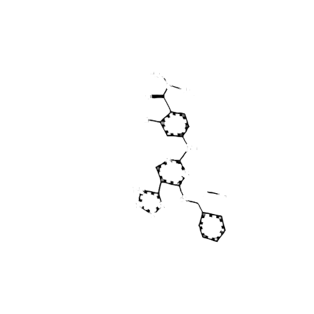 CN(C)C(=O)c1ccc(Nc2ncc(-c3nnn[nH]3)c(N[C@H](CO)c3ccccc3)n2)cc1Cl